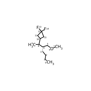 CCCC[C@@H](COC)C(C)C1CC(F)(F)C1